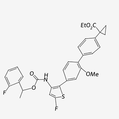 CCOC(=O)C1(c2ccc(-c3ccc(-c4sc(F)cc4NC(=O)OC(C)c4ccccc4F)cc3OC)cc2)CC1